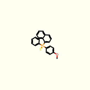 COc1ccc(P(=S)(c2ccccc2)c2cccc3ccccc23)cc1